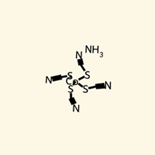 N.N#C[S][Co]([S]C#N)([S]C#N)[S]C#N